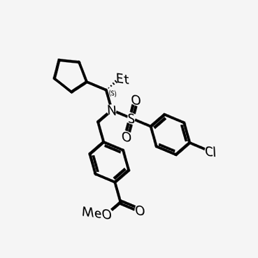 CC[C@@H](C1CCCC1)N(Cc1ccc(C(=O)OC)cc1)S(=O)(=O)c1ccc(Cl)cc1